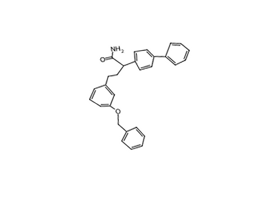 NC(=O)C(CCc1cccc(OCc2ccccc2)c1)c1ccc(-c2ccccc2)cc1